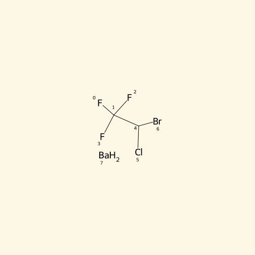 FC(F)(F)C(Cl)Br.[BaH2]